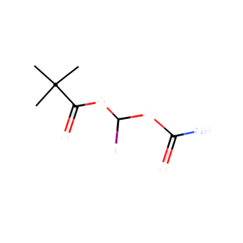 CC(C)(C)C(=O)OC(I)OC(N)=O